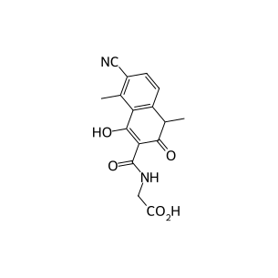 Cc1c(C#N)ccc2c1C(O)=C(C(=O)NCC(=O)O)C(=O)C2C